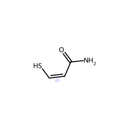 NC(=O)/C=C\S